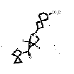 CCOC(=O)N1CCC2(CC(N3C[C@@H]4C(C(=O)N5CCC56CC6)[C@@H]4C3)C2)C1